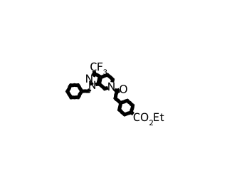 CCOC(=O)C1CCC(CC(=O)N2CCc3c(C(F)(F)F)nn(CC4CCCCC4)c3C2)CC1